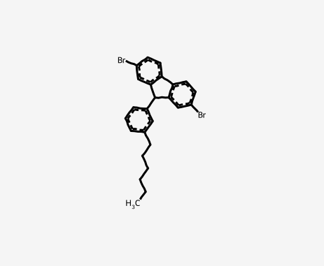 CCCCCCc1cccc(C2c3cc(Br)ccc3-c3ccc(Br)cc32)c1